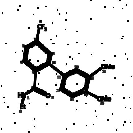 CCNC(=O)c1ccc(C(F)(F)F)cc1-c1ccc(OC)c(OC)c1